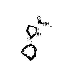 NC(=O)[C@H]1CC[C@@H](c2ccccc2)N1